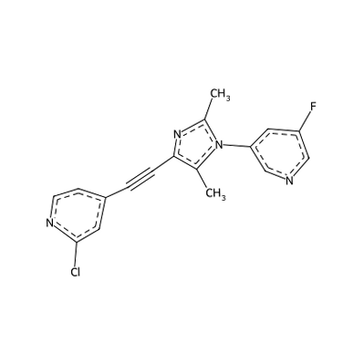 Cc1nc(C#Cc2ccnc(Cl)c2)c(C)n1-c1cncc(F)c1